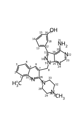 Cc1cccc2cc(Cn3nc(-c4cccc(O)c4)c4c(N)ncnc43)c(N3CCN(C)CC3)nc12